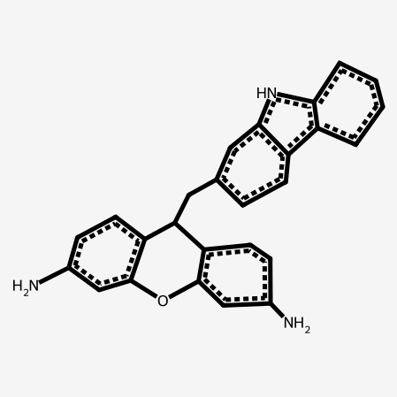 Nc1ccc2c(c1)Oc1cc(N)ccc1C2Cc1ccc2c(c1)[nH]c1ccccc12